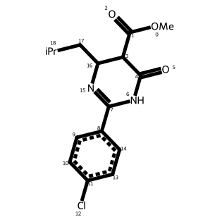 COC(=O)C1C(=O)NC(c2ccc(Cl)cc2)=NC1CC(C)C